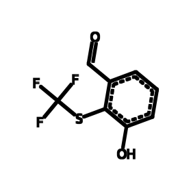 O=Cc1cccc(O)c1SC(F)(F)F